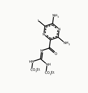 CCOC(=O)NC(=NC(=O)c1nc(I)c(N)nc1N)NC(=O)OCC